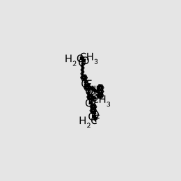 C=C(C)C(=O)OCCCCCCc1ccc(COc2ccc(OCc3ccc(OC(=O)c4ccc5cc(OC(=O)C(=C)F)ccc5c4)c(OC)c3)c(/C=N/N=C/c3c4ccccc4cc4ccccc34)c2F)cc1